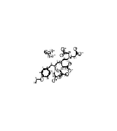 CCOc1ccc(CC(CN(CCN(CC(=O)[O-])CC(=O)[O-])CC(=O)[O-])N(CC(=O)[O-])CC(=O)[O-])cc1.[Gd+3].[Na+].[Na+]